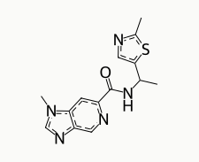 Cc1ncc(C(C)NC(=O)c2cc3c(cn2)ncn3C)s1